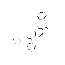 O=C1Nc2ccccc2Nc2cc(-c3cn(C4CCCC4)c4cnccc34)ccc21